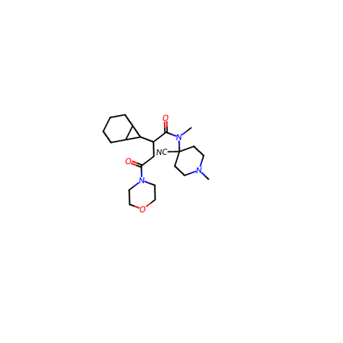 CN1CCC(C#N)(N(C)C(=O)C(CC(=O)N2CCOCC2)C2C3CCCCC32)CC1